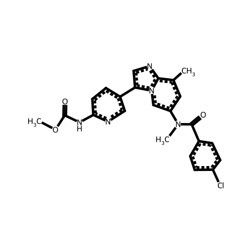 COC(=O)Nc1ccc(-c2cnc3c(C)cc(N(C)C(=O)c4ccc(Cl)cc4)cn23)cn1